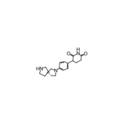 O=C1CCC(c2ccc(N3CC[C@@]4(CCNC4)C3)cc2)C(=O)N1